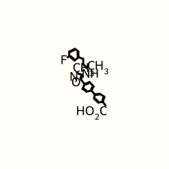 Cc1noc(-c2ccc(-c3ccc(CC(=O)O)cc3)cc2)c1NC(C)CCc1cccc(F)c1